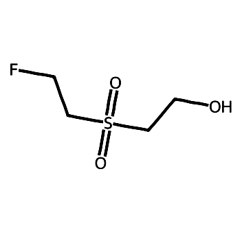 O=S(=O)(CCO)CCF